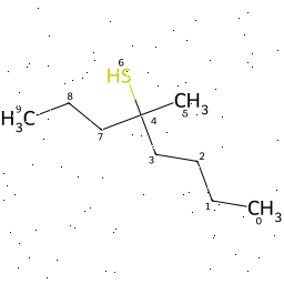 CCCCC(C)(S)CCC